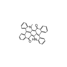 Cn1c2ccccc2c2c3ccccc3c(=O)c3c4[nH]c5ccccc5c5c6ccccc6c(=O)c(c45)c1c32